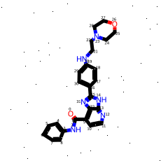 O=C(Nc1ccccc1)c1ccnc2[nH]c(-c3ccc(NCCN4CCOCC4)cc3)nc12